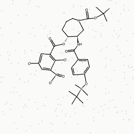 CC(C)(C)OC(=O)N1CCC[C@@H](OC(=O)c2cc(Cl)cc([N+](=O)[O-])c2Cl)[C@H](NC(=O)c2ccc(O[Si](C)(C)C(C)(C)C)cc2)C1